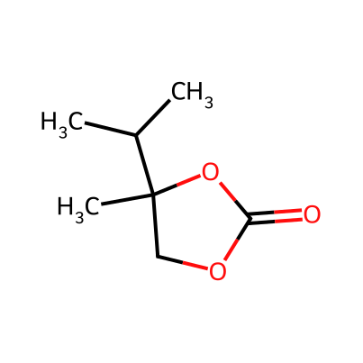 CC(C)C1(C)COC(=O)O1